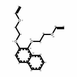 C=COCCOc1ccc2ccccc2c1OCCOC=C